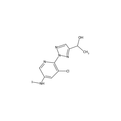 CC(O)c1cnn(-c2ncc(NI)cc2Cl)n1